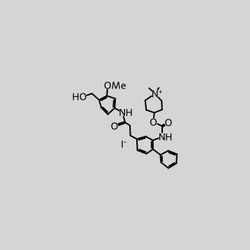 COc1cc(NC(=O)CCc2ccc(-c3ccccc3)c(NC(=O)OC3CC[N+](C)(C)CC3)c2)ccc1CO.[I-]